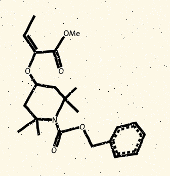 CC=C(OC1CC(C)(C)N(C(=O)OCc2ccccc2)C(C)(C)C1)C(=O)OC